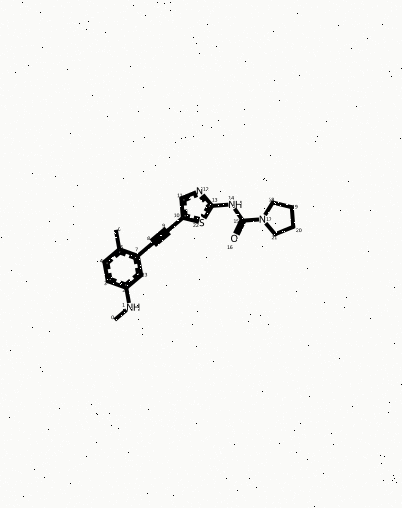 CNc1ccc(C)c(C#Cc2cnc(NC(=O)N3CCCC3)s2)c1